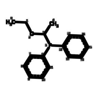 CCOC(C)P(c1ccccc1)c1ccccc1